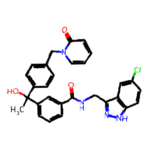 CC(O)(c1ccc(Cn2ccccc2=O)cc1)c1cccc(C(=O)NCc2n[nH]c3ccc(Cl)cc23)c1